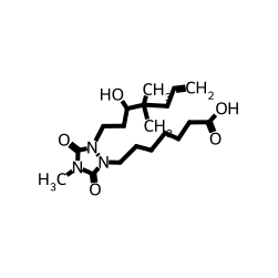 C=CCC(C)(C)C(O)CCn1c(=O)n(C)c(=O)n1CCCCCCC(=O)O